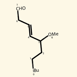 CCC(C)CCC(C=CCC=O)OC